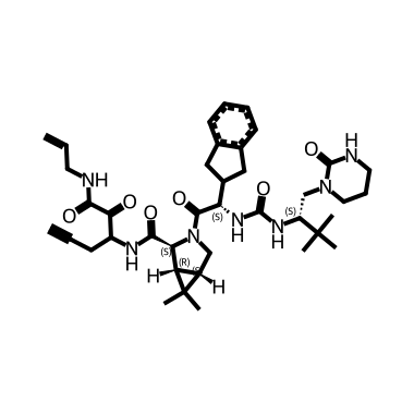 C#CCC(NC(=O)[C@@H]1[C@@H]2[C@H](CN1C(=O)[C@@H](NC(=O)N[C@H](CN1CCCNC1=O)C(C)(C)C)C1Cc3ccccc3C1)C2(C)C)C(=O)C(=O)NCC=C